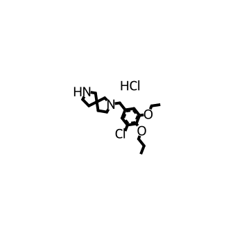 CCCOc1c(Cl)cc(CN2CCC3(CCNC3)C2)cc1OCC.Cl